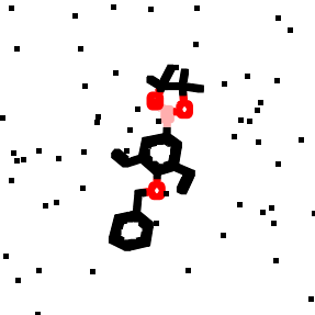 C=Cc1cc(B2OC(C)(C)C(C)(C)O2)cc(C=C)c1OCc1ccccc1